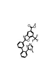 COC(=O)c1cc(C(F)(F)F)c2oc(-c3cccc(-c4ccccc4-c4nncn4C)c3)nc2c1